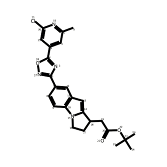 Cc1cc(-c2nc(-c3ccc4c(c3)cc3n4CCC3CC(=O)OC(C)(C)C)no2)cc(Cl)n1